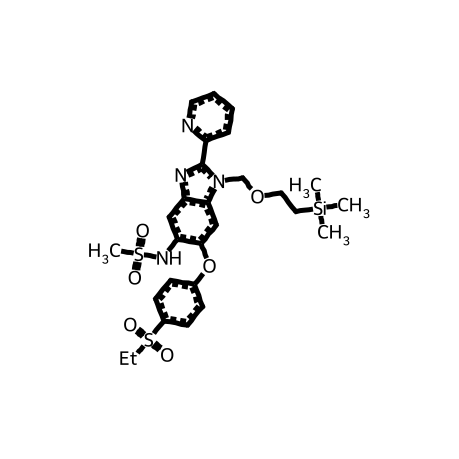 CCS(=O)(=O)c1ccc(Oc2cc3c(cc2NS(C)(=O)=O)nc(-c2ccccn2)n3COCC[Si](C)(C)C)cc1